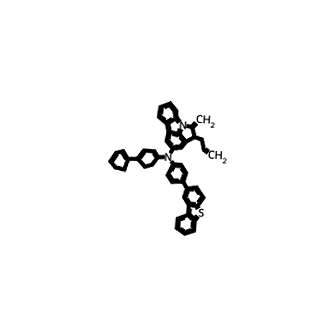 C=CCC1C(=C)n2c3ccccc3c3cc(N(C4=CC=C(C5=CC=CCC5)CC4)c4ccc(-c5ccc6sc7ccccc7c6c5)cc4)cc1c32